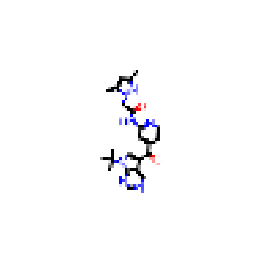 Cc1cc(C)n(CC(=O)Nc2cc(C(=O)c3cn(C(C)(C)C)c4ncncc34)ccn2)n1